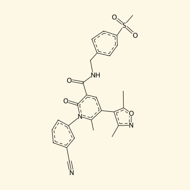 Cc1noc(C)c1-c1cc(C(=O)NCc2ccc(S(C)(=O)=O)cc2)c(=O)n(-c2cccc(C#N)c2)c1C